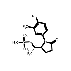 CC(C)(C)[Si](C)(C)O[C@H](C1CCC(=O)N1c1ccc(C#N)c(C(F)(F)F)c1)C(F)(F)F